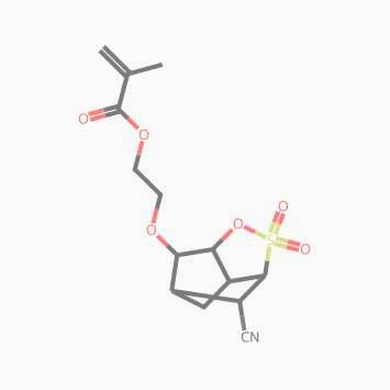 C=C(C)C(=O)OCCOC1C2CC3C1OS(=O)(=O)C3C2C#N